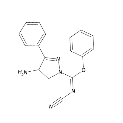 N#CN=C(Oc1ccccc1)N1CC(N)C(c2ccccc2)=N1